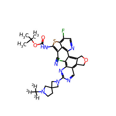 [2H]C([2H])([2H])N1CCC2(CN(c3ncc4c5c(c(-c6ncc(F)c7sc(NC(=O)OC(C)(C)C)c(C#N)c67)c(F)c4n3)COC5)C2)C1